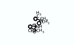 Cc1ccccc1CC1(N(C)C)CCC(NC(=O)c2c(-c3c(Cl)cccc3Cl)noc2C)CC1